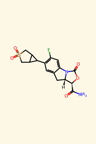 NC(=O)[C@@H]1OC(=O)N2c3cc(F)c(C4C5CS(=O)(=O)CC54)cc3C[C@@H]12